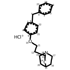 Cl.c1ccc(Cc2ccc(OCCC3CC4CCN3CC4)cc2)cc1